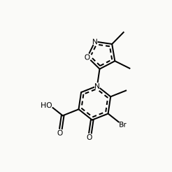 Cc1noc(-n2cc(C(=O)O)c(=O)c(Br)c2C)c1C